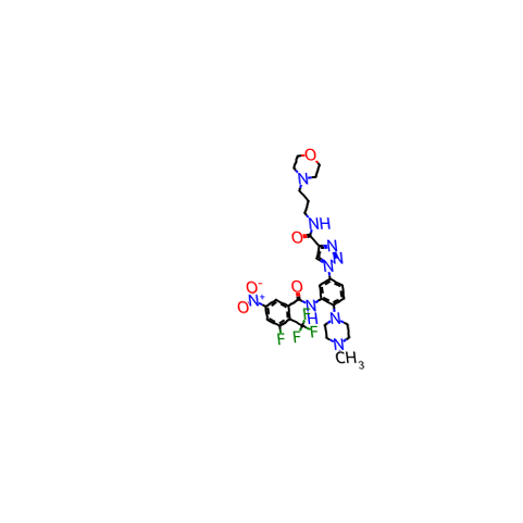 CN1CCN(c2ccc(-n3cc(C(=O)NCCCN4CCOCC4)nn3)cc2NC(=O)c2cc([N+](=O)[O-])cc(F)c2C(F)(F)F)CC1